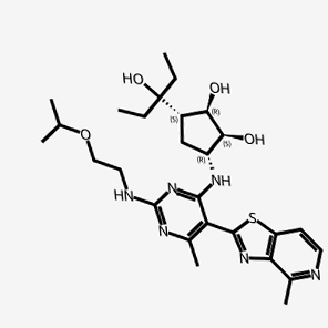 CCC(O)(CC)[C@H]1C[C@@H](Nc2nc(NCCOC(C)C)nc(C)c2-c2nc3c(C)nccc3s2)[C@H](O)[C@@H]1O